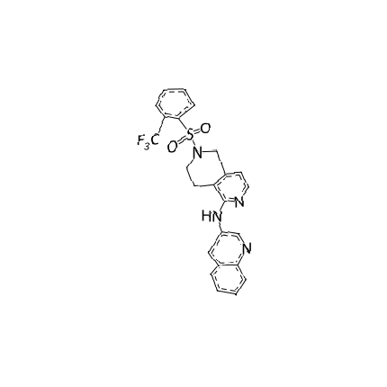 O=S(=O)(c1ccccc1C(F)(F)F)N1CCc2c(ccnc2Nc2cnc3ccccc3c2)C1